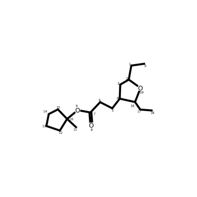 CCC1CC(CCC(=O)OC2(C)CCCC2)C(CC)O1